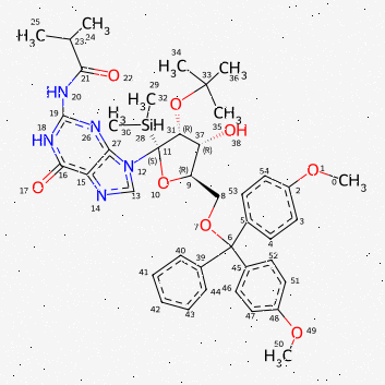 COc1ccc(C(OC[C@H]2O[C@](n3cnc4c(=O)[nH]c(NC(=O)C(C)C)nc43)([SiH](C)C)[C@H](OC(C)(C)C)[C@@H]2O)(c2ccccc2)c2ccc(OC)cc2)cc1